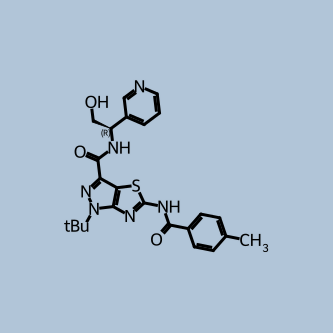 Cc1ccc(C(=O)Nc2nc3c(s2)c(C(=O)N[C@@H](CO)c2cccnc2)nn3C(C)(C)C)cc1